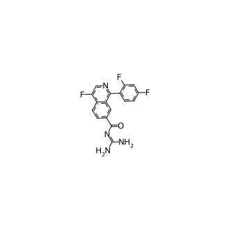 NC(N)=NC(=O)c1ccc2c(F)cnc(-c3ccc(F)cc3F)c2c1